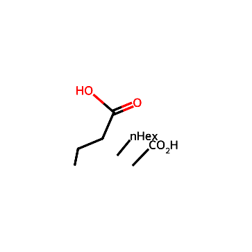 CC(=O)O.CCCC(=O)O.CCCCCCC